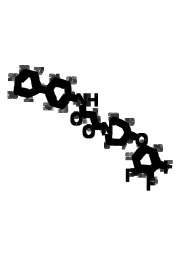 O=C(CC(=O)N1CCC(Oc2cc(F)c(F)c(F)c2)CC1)Nc1ccc(-c2ccccc2)cc1